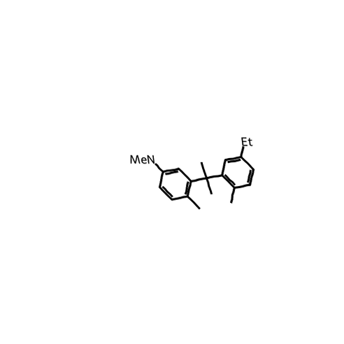 CCc1ccc(C)c(C(C)(C)c2cc(NC)ccc2C)c1